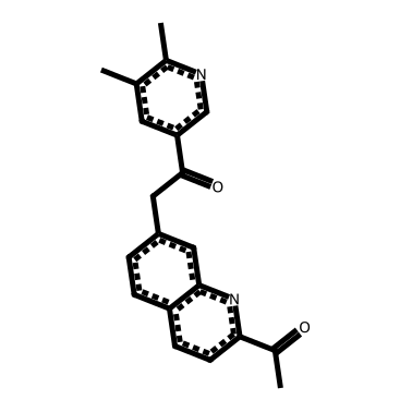 CC(=O)c1ccc2ccc(CC(=O)c3cnc(C)c(C)c3)cc2n1